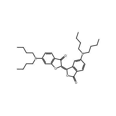 CCCCN(CCCC)c1ccc2c(c1)O/C(=C1\OC(=O)c3ccc(N(CCCC)CCCC)cc31)C2=O